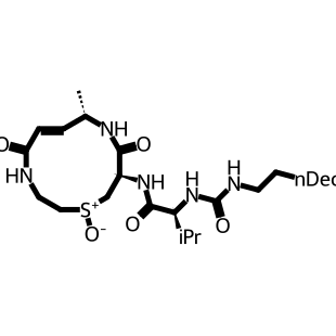 CCCCCCCCCCCCNC(=O)N[C@H](C(=O)N[C@H]1C[S+]([O-])CCNC(=O)/C=C/[C@H](C)NC1=O)C(C)C